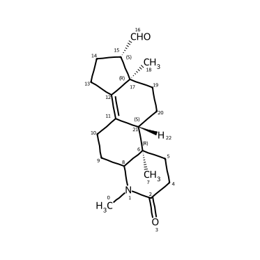 CN1C(=O)CC[C@@]2(C)C1CCC1=C3CC[C@H](C=O)[C@@]3(C)CC[C@@H]12